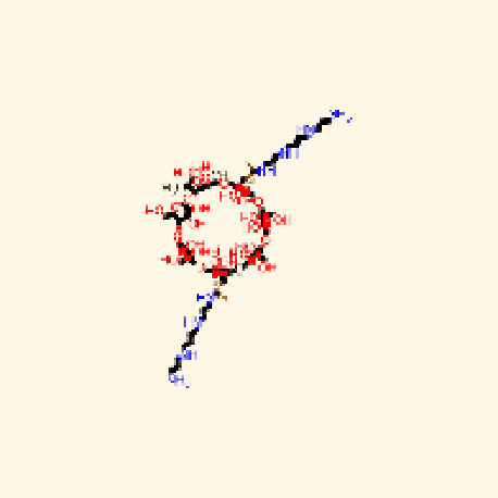 CC(CO)C1OC2OC(CO)C(OC3OC(CO)C(OC4OC(CSC(=S)NCCCNCCCCNCCCN)C(CC5OC(CO)C(OC6OC(CO)C(OC7OC(CSC(=S)NCCCNCCCCNCCCN)C(OC(C)C(O)C1O)C(O)C7O)C(O)C6O)C(O)C5O)C(O)C4O)C(O)C3O)C(O)C2O